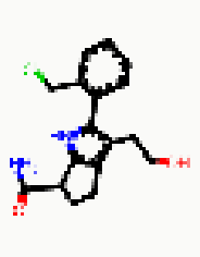 NC(=O)C1CCc2c1[nH]c(-c1ccccc1CCl)c2CCO